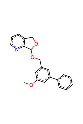 COc1cc(COC2OCc3cccnc32)cc(-c2ccccc2)c1